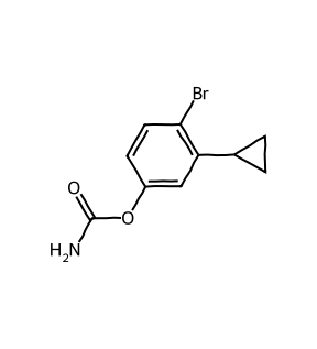 NC(=O)Oc1ccc(Br)c(C2CC2)c1